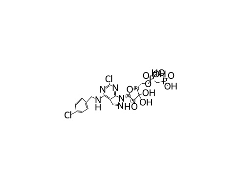 O=P(O)(O)CP(=O)(O)OC[C@H]1O[C@@H](n2ncc3c(NCc4ccc(Cl)cc4)nc(Cl)nc32)[C@H](O)C1(O)O